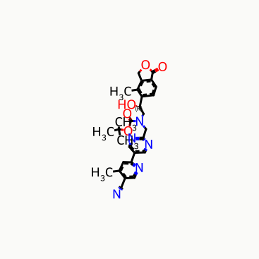 Cc1cc(-c2cnc(CN(C[C@H](O)c3ccc4c(c3C)COC4=O)C(=O)OC(C)(C)C)nc2)ncc1C#N